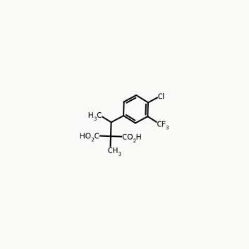 CC(c1ccc(Cl)c(C(F)(F)F)c1)C(C)(C(=O)O)C(=O)O